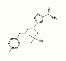 Cc1ccc(CCCC(O[Si](C)(C)C(C)(C)C)n2cnc(C(N)=O)c2)cc1